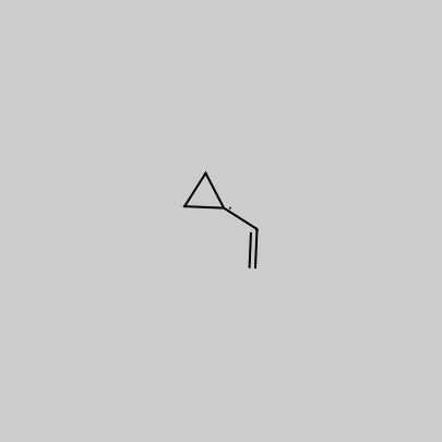 C=C[C]1CC1